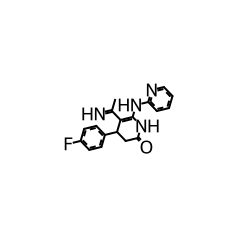 CC(=N)C1=C(Nc2ccccn2)NC(=O)CC1c1ccc(F)cc1